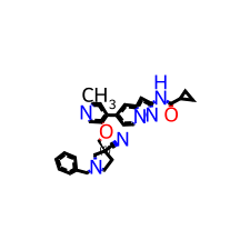 Cc1cc(-c2ccn3nc(NC(=O)C4CC4)cc3c2)c(OC[C@@]2(C#N)CCN(Cc3ccccc3)C2)cn1